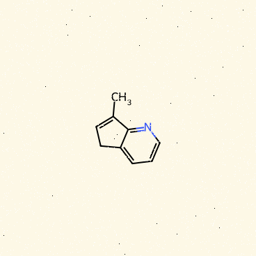 CC1=CCc2cccnc21